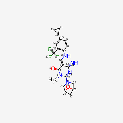 CN1C(=O)/C(=C/Nc2ccc(C3CC3)cc2C(F)(F)F)C(=N)N=C1N1CC2CC(C1)O2